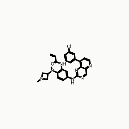 C=CC(=O)Nc1cc(Nc2ncc3nccc(-c4cccc(Cl)c4)c3n2)ccc1N(C)C1CN(C)C1